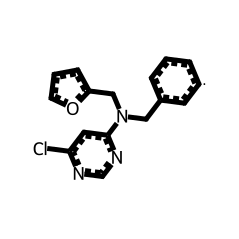 Clc1cc(N(Cc2c[c]ccc2)Cc2ccco2)ncn1